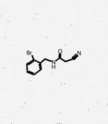 N#CCC(=O)NCc1ccccc1Br